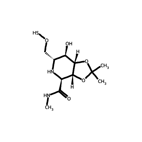 CNC(=O)[C@H]1N[C@H](COS)[C@@H](O)[C@@H]2OC(C)(C)O[C@@H]21